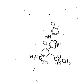 CB(O)N1CCN(/C(C=N)=C(\Cl)C(=O)Nc2cccc(Cl)c2)C(COS(C)(=O)=O)C1